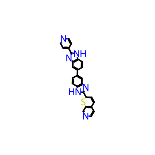 C1=CC(c2nc3cc(-c4ccc5[nH]c(-c6ccncc6)nc5c4)ccc3[nH]2)Sc2cnccc21